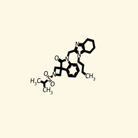 CCCCn1c(CN2C(=O)C3(CN(S(=O)(=O)C(C)C)C3)c3ccccc32)nc2c1CCCC2